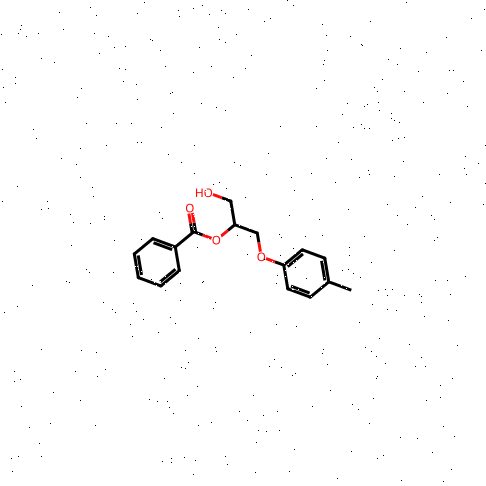 Cc1ccc(OCC(CO)OC(=O)c2ccccc2)cc1